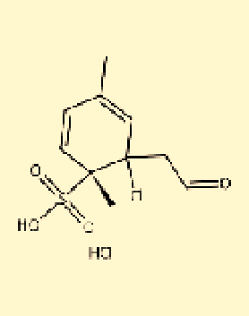 CC1=CC(Cl)(CC=O)[C@](C)(S(=O)(=O)O)C=C1.Cl